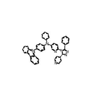 c1ccc(-c2nnc(-c3ccncc3)n2-c2ccc(N(c3ccccc3)c3ccc(-n4c5ccccc5c5ccccc54)cc3)cn2)cc1